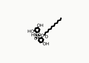 CCCCCCCCCCCC(=O)Oc1cc(O)ccc1S(=O)(=O)Nc1ccc(O)cc1O